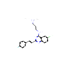 CN(C)CCCNc1nc(C=Cc2ccc(F)cc2)nc2ccc(Cl)cc12